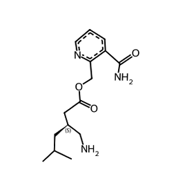 CC(C)C[C@H](CN)CC(=O)OCc1ncccc1C(N)=O